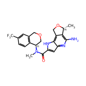 C[C@H]1OCc2c1c(N)nc1cc(C(=O)N(C)[C@@H]3COCc4cc(C(F)(F)F)ccc43)[nH]c21